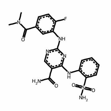 CN(C)C(=O)c1ccc(F)c(Nc2ncc(C(N)=O)c(Nc3ccccc3S(N)(=O)=O)n2)c1